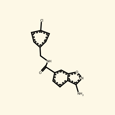 Nc1noc2cc(C(=O)NCc3ccc(Cl)cc3)ccc12